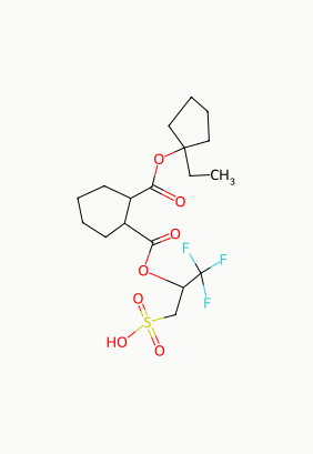 CCC1(OC(=O)C2CCCCC2C(=O)OC(CS(=O)(=O)O)C(F)(F)F)CCCC1